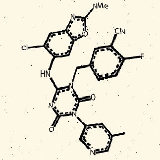 CNc1nc2cc(Cl)c(Nc3nc(=O)n(-c4cncc(C)c4)c(=O)n3Cc3ccc(F)c(C#N)c3)cc2o1